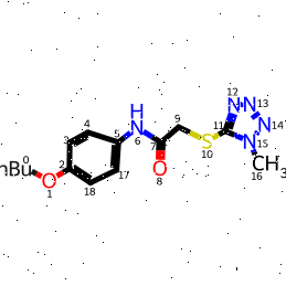 CCCCOc1ccc(NC(=O)CSc2nnnn2C)cc1